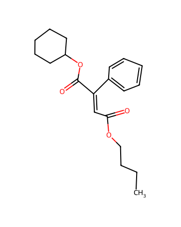 CCCCOC(=O)/C=C(/C(=O)OC1CCCCC1)c1ccccc1